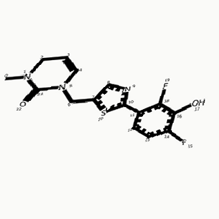 CN1CC=CN(Cc2cnc(-c3ccc(F)c(O)c3F)s2)C1=O